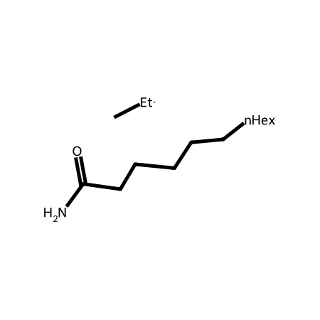 CCCCCCCCCCCC(N)=O.C[CH]C